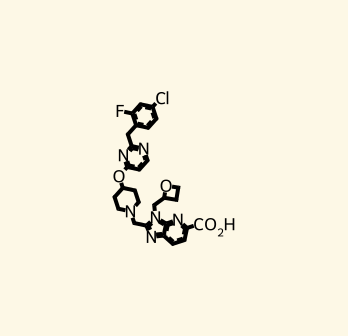 O=C(O)c1ccc2nc(CN3CCC(Oc4ccnc(Cc5ccc(Cl)cc5F)n4)CC3)n(CC3CCO3)c2n1